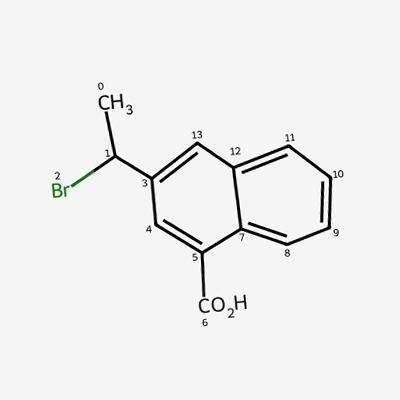 CC(Br)c1cc(C(=O)O)c2ccccc2c1